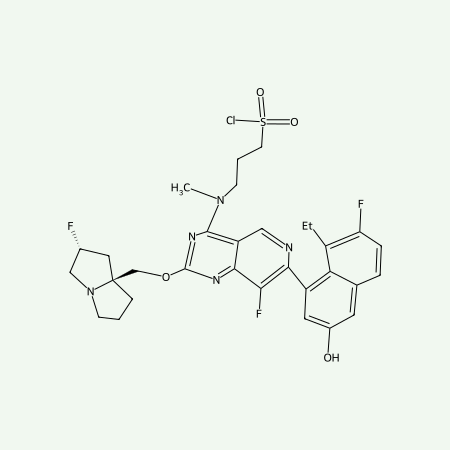 CCc1c(F)ccc2cc(O)cc(-c3ncc4c(N(C)CCCS(=O)(=O)Cl)nc(OC[C@@]56CCCN5C[C@H](F)C6)nc4c3F)c12